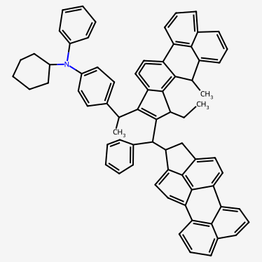 CCC1C2=C3C(=C=C=C2C(C(C)c2ccc(N(c4ccccc4)C4CCCCC4)cc2)=C1C(c1ccccc1)C1Cc2ccc4c5cccc6cccc(c7ccc1c2c47)c65)c1cccc2cccc(c12)C3C